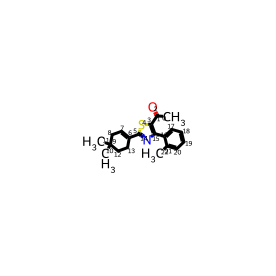 CC(=O)c1sc(C2=CCC(C)(C)CC2)nc1-c1ccccc1C